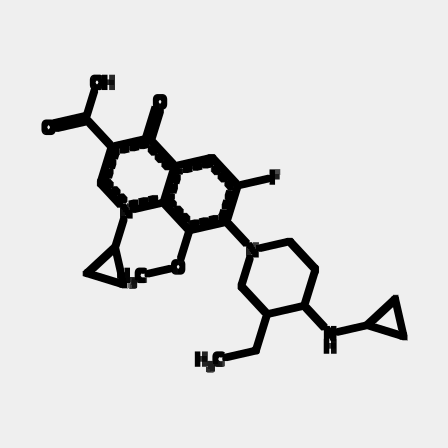 CCC1CN(c2c(F)cc3c(=O)c(C(=O)O)cn(C4CC4)c3c2OC)CCC1NC1CC1